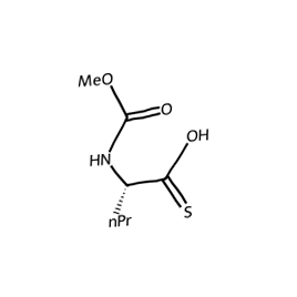 CCC[C@H](NC(=O)OC)C(O)=S